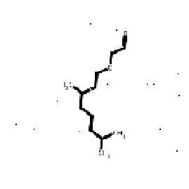 CC(C)CCCC(C)CCOCC=O